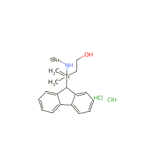 Cl.Cl.[CH2]=[Ti]([CH3])([CH2]CO)([NH]C(C)(C)C)[CH]1c2ccccc2-c2ccccc21